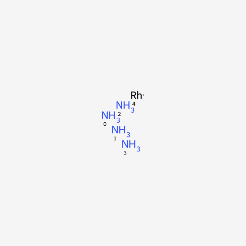 N.N.N.N.[Rh]